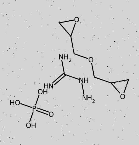 C(OCC1CO1)C1CO1.N=C(N)NN.O=P(O)(O)O